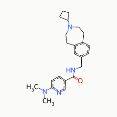 CN(C)c1ccc(C(=O)NCc2ccc3c(c2)CCN(C2CCC2)CC3)cn1